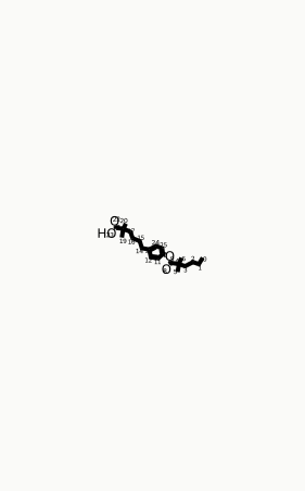 CCCCC(C)(C)C(=O)Oc1ccc(CCCCC(C)(C)C(=O)O)cc1